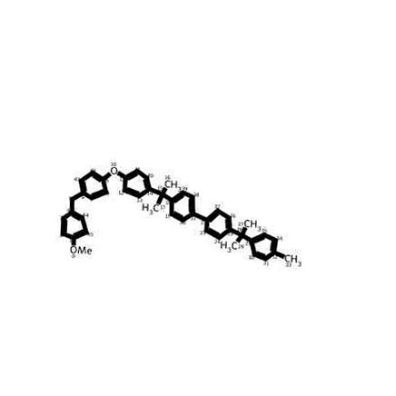 COc1ccc(Cc2ccc(Oc3ccc(C(C)(C)c4ccc(-c5ccc(C(C)(C)c6ccc(C)cc6)cc5)cc4)cc3)cc2)cc1